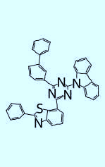 c1ccc(-c2cccc(-c3nc(-c4cccc5nc(-c6ccccc6)sc45)nc(-n4c5ccccc5c5ccccc54)n3)c2)cc1